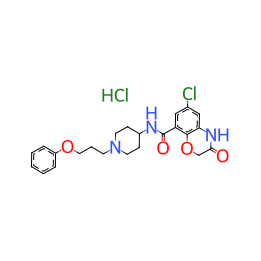 Cl.O=C1COc2c(cc(Cl)cc2C(=O)NC2CCN(CCCOc3ccccc3)CC2)N1